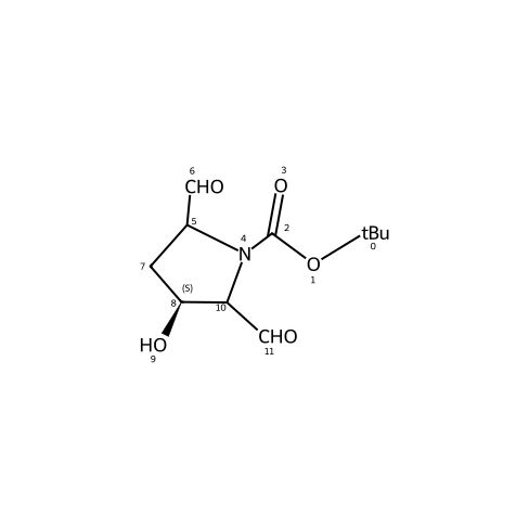 CC(C)(C)OC(=O)N1C(C=O)C[C@H](O)C1C=O